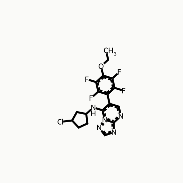 CCOc1c(F)c(F)c(-c2cnc3ncnn3c2NC2CCC(Cl)C2)c(F)c1F